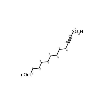 CCCCCCCCCCCCCCCCC#CS(=O)(=O)O